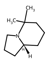 CC1(C)CCC[C@@H]2CCCN21